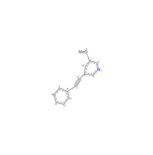 COc1cncc(C#Cc2ccccc2)c1